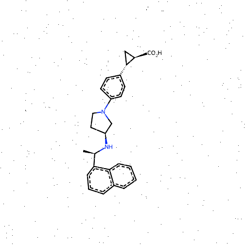 C[C@@H](N[C@H]1CCN(c2ccc([C@@H]3C[C@H]3C(=O)O)cc2)C1)c1cccc2ccccc12